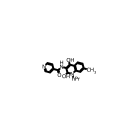 CCCN1c2cc(C)ccc2C(O)=C(NC(=O)c2ccncc2)C1O